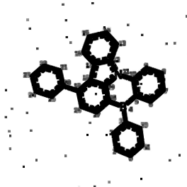 c1ccc(B2c3ccccc3-n3c4ccccc4c4c(-c5ccccc5)ccc2c43)cc1